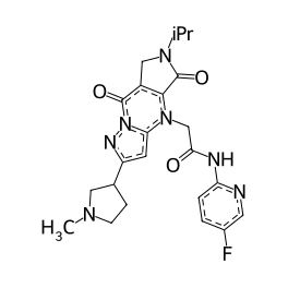 CC(C)N1Cc2c(n(CC(=O)Nc3ccc(F)cn3)c3cc(C4CCN(C)C4)nn3c2=O)C1=O